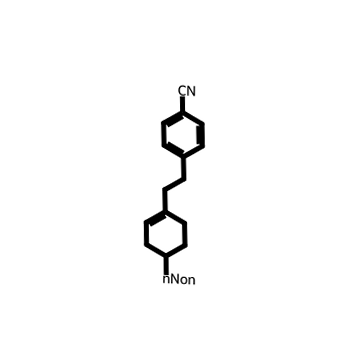 CCCCCCCCCC1CC=C(CCc2ccc(C#N)cc2)CC1